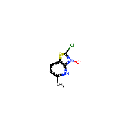 Cc1ccc2sc(Cl)[n+]([O-])c2n1